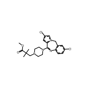 COC(=O)C(C)(C)CN1CCN(C2=Nc3ccc(Cl)cc3Cn3cc(Cl)cc32)CC1